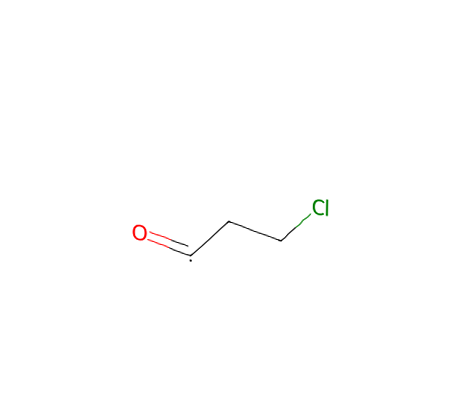 O=[C]CCCl